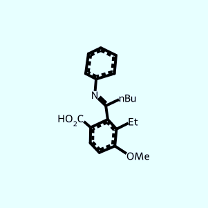 CCCCC(=Nc1ccccc1)c1c(C(=O)O)ccc(OC)c1CC